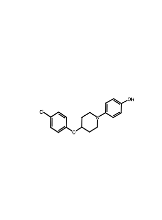 Oc1ccc(N2CCC(Oc3ccc(Cl)cc3)CC2)cc1